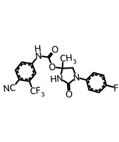 CC1(OC(=O)Nc2ccc(C#N)c(C(F)(F)F)c2)CN(c2ccc(F)cc2)C(=O)N1